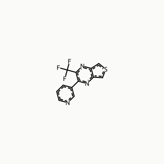 FC(F)(F)c1nc2cscc2nc1-c1cccnc1